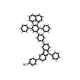 N#Cc1ccc(-c2ccc3c(c2)c2cc(-c4ccc(-c5cc(-c6ccccc6)c6c(c5-c5ccccc5)-c5cccc7cccc-6c57)cc4)ccc2n3-c2ccccc2)cc1